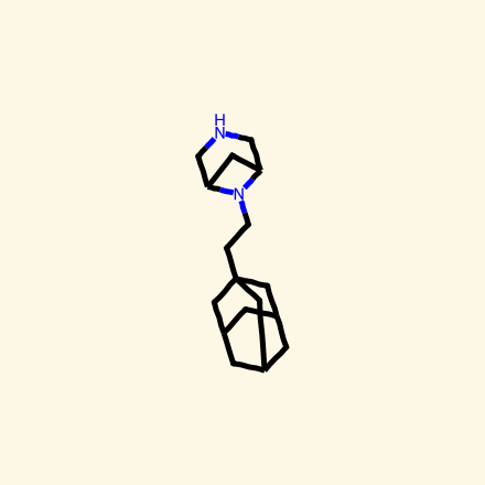 C1C2CC3CC1CC(CCN1C4CNCC1C4)(C2)C3